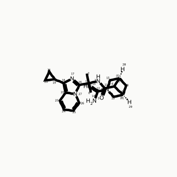 CC(C)(NC(=O)C1[C@@H]2C[C@H]1CN(C(=N)N)C2)c1nc(C2CC2)c2ccccn12